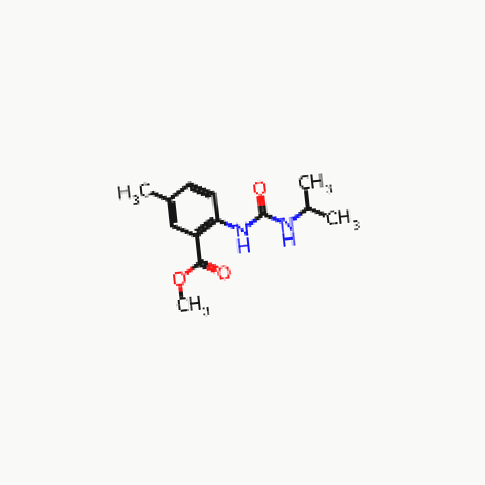 COC(=O)c1cc(C)ccc1NC(=O)NC(C)C